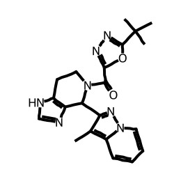 Cc1c(C2c3nc[nH]c3CCN2C(=O)c2nnc(C(C)(C)C)o2)nn2ccccc12